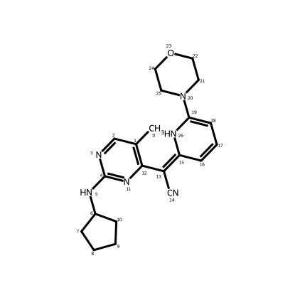 Cc1cnc(NC2CCCC2)nc1/C(C#N)=C1/C=CC=C(N2CCOCC2)N1